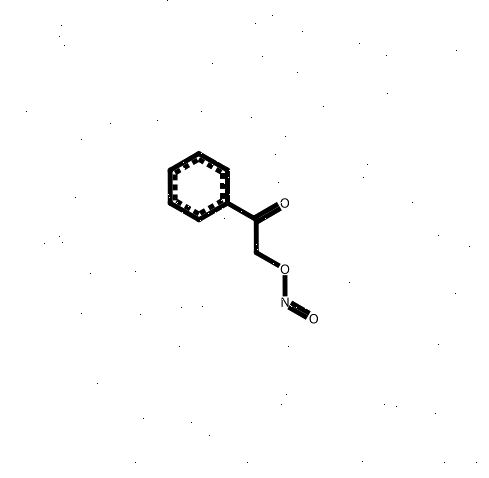 O=NOCC(=O)c1ccccc1